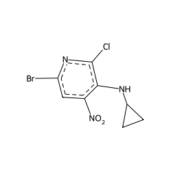 O=[N+]([O-])c1cc(Br)nc(Cl)c1NC1CC1